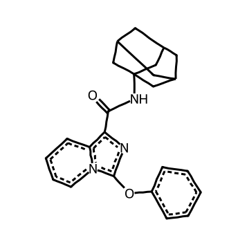 O=C(NC12CC3CC(CC(C3)C1)C2)c1nc(Oc2ccccc2)n2ccccc12